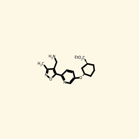 CCOC(=O)[C@H]1CCC[C@H](Oc2ccc(-c3onc(C)c3CN)nc2)C1